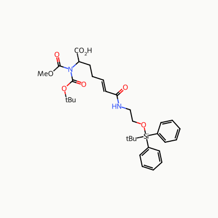 COC(=O)N(C(=O)OC(C)(C)C)C(CC/C=C/C(=O)NCCO[Si](c1ccccc1)(c1ccccc1)C(C)(C)C)C(=O)O